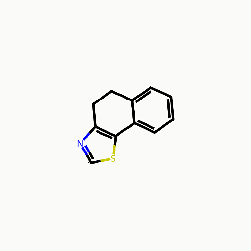 [c]1nc2c(s1)-c1ccccc1CC2